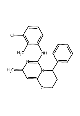 C=C1C=C2OCCC(c3ccccc3)N2C(Nc2cccc(Cl)c2C)=N1